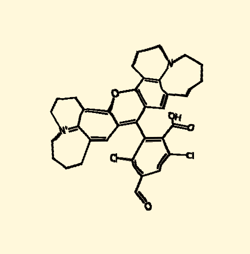 O=Cc1cc(Cl)c(C(=O)O)c(C2=c3cc4c5c(c3Oc3c2cc2c6c3CCCN6CCCC2)CCC[N+]=5CCCC4)c1Cl